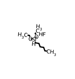 CCCCCC[SiH](OCC)OCC.F